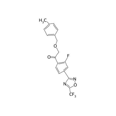 Cc1ccc(COCC(=O)c2ccc(-c3noc(C(F)(F)F)n3)cc2F)cc1